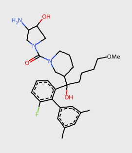 COCCCCC(O)(c1cccc(F)c1-c1cc(C)cc(C)c1)C1CCCN(C(=O)N2CC(N)C(O)C2)C1